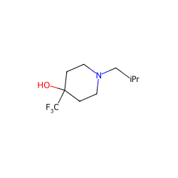 CC(C)CN1CCC(O)(C(F)(F)F)CC1